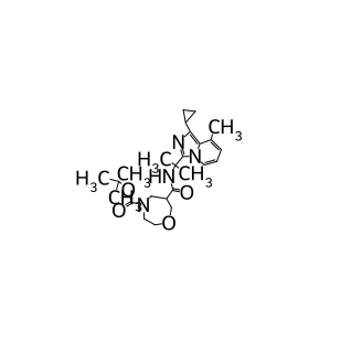 Cc1cccn2c(C(C)(C)NC(=O)C3COCCN(C(=O)OC(C)(C)C)C3)nc(C3CC3)c12